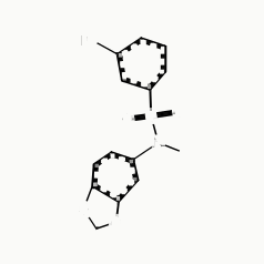 CN(c1ccc2c(c1)OCO2)S(=O)(=O)c1cccc(Br)c1